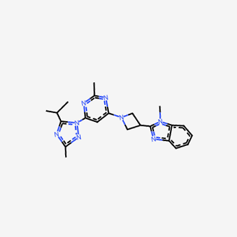 Cc1nc(N2CC(c3nc4ccccc4n3C)C2)cc(-n2nc(C)nc2C(C)C)n1